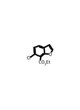 CCOC(=O)c1c(Cl)ccc2ccoc12